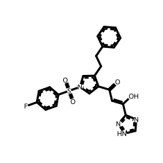 O=C(C=C(O)c1nc[nH]n1)c1cn(S(=O)(=O)c2ccc(F)cc2)cc1CCc1ccccc1